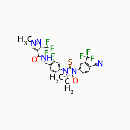 Cn1cc(C(=O)NCc2ccc(N3C(=S)N(c4ccc(C#N)c(C(F)(F)F)c4)C(=O)C3(C)C)cc2F)c(C(F)(F)F)n1